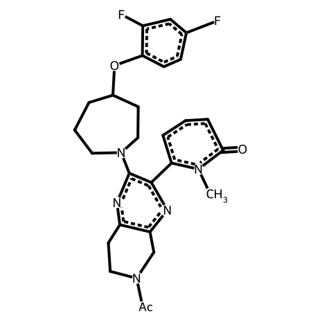 CC(=O)N1CCc2nc(N3CCCC(Oc4ccc(F)cc4F)CC3)c(-c3cccc(=O)n3C)nc2C1